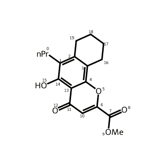 CCCc1c2c(c3oc(C(=O)OC)cc(=O)c3c1O)CCCC2